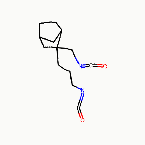 O=C=NCCCC1(CN=C=O)CC2CCC1C2